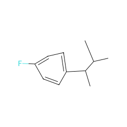 CC(C)C(C)c1ccc(F)cc1